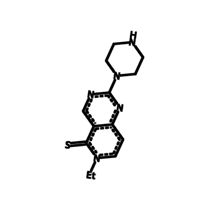 CCn1ccc2nc(N3CCNCC3)ncc2c1=S